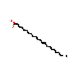 CCCCC/C=C/C/C=C/C/C=C/CCCCCCCCC(=O)O